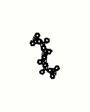 c1ccc(N(c2ccc3c(c2)c2cccc4c5cc6c(cc5n3c24)c2cccc3c4cc(N(c5ccccc5)c5cc7c8ccccc8n8c9ccccc9c(c5)c78)ccc4n6c32)c2cc3c4ccccc4n4c5ccccc5c(c2)c34)cc1